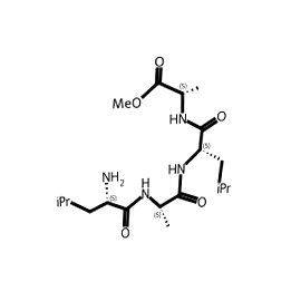 COC(=O)[C@H](C)NC(=O)[C@H](CC(C)C)NC(=O)[C@H](C)NC(=O)[C@@H](N)CC(C)C